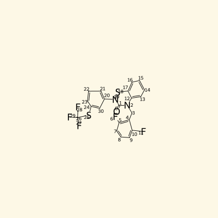 O=C1N(Cc2c(F)cccc2F)c2ccccc2SN1c1cccc(SC(F)(F)F)c1